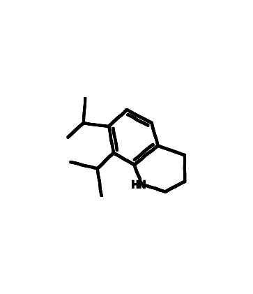 CC(C)c1ccc2c(c1C(C)C)NCCC2